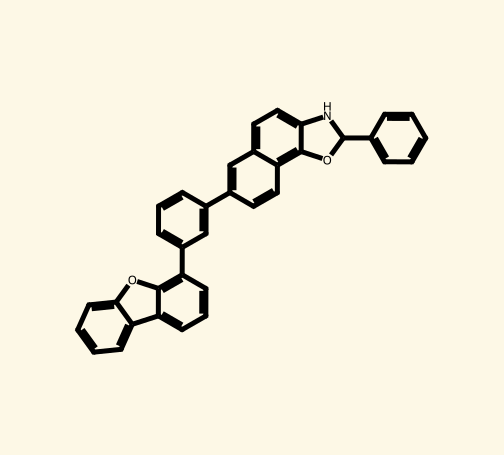 c1ccc(C2Nc3ccc4cc(-c5cccc(-c6cccc7c6oc6ccccc67)c5)ccc4c3O2)cc1